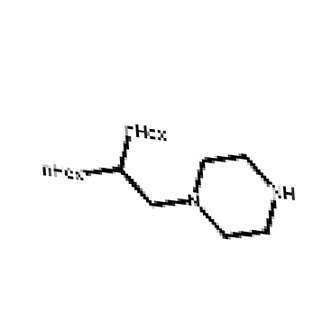 CCCCCCC(CCCCCC)CN1CCNCC1